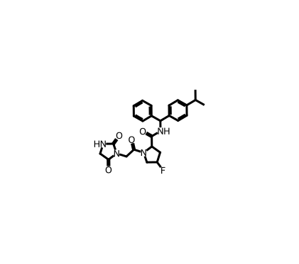 CC(C)c1ccc(C(NC(=O)C2CC(F)CN2C(=O)CN2C(=O)CNC2=O)c2ccccc2)cc1